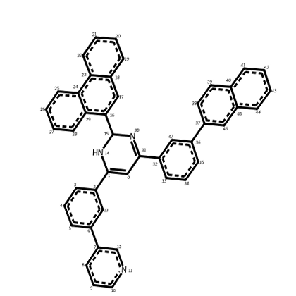 C1=C(c2cccc(-c3cccnc3)c2)NC(c2cc3ccccc3c3ccccc23)N=C1c1cccc(-c2ccc3ccccc3c2)c1